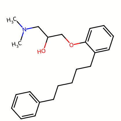 CN(C)CC(O)COc1ccccc1CCCCCc1ccccc1